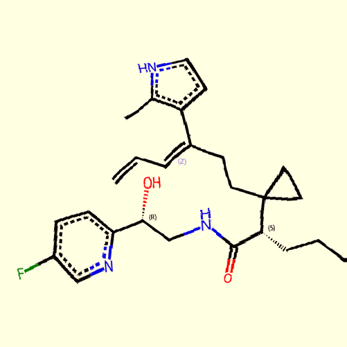 C=C/C=C(/CCC1([C@H](CCC)C(=O)NC[C@@H](O)c2ccc(F)cn2)CC1)c1cc[nH]c1C